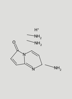 CN.CN.CN.O=C1C=CC2=NCC=CN12.[H+]